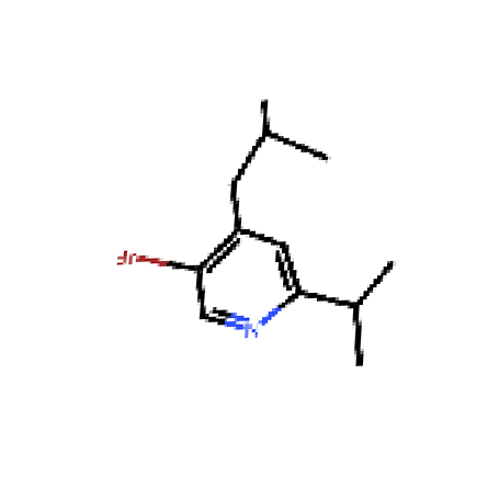 CC(C)Cc1cc(C(C)C)ncc1Br